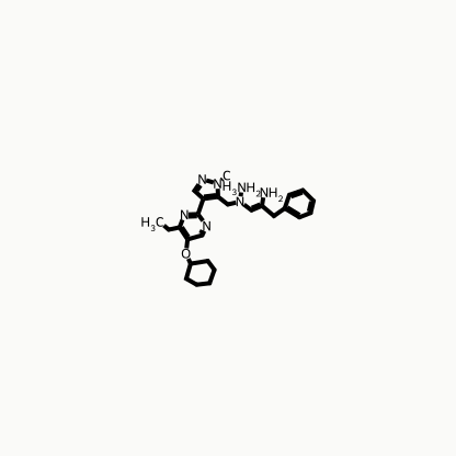 CCc1nc(-c2cnn(C)c2CN(N)/C=C(\N)Cc2ccccc2)ncc1OC1CCCCC1